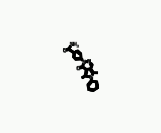 Cc1c2cnn(-c3ccc(C(N)=O)cc3)c(=O)c2c(C)n1-c1ccccc1